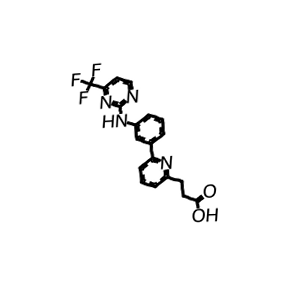 O=C(O)CCc1cccc(-c2cccc(Nc3nccc(C(F)(F)F)n3)c2)n1